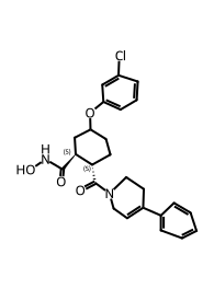 O=C(NO)[C@H]1CC(Oc2cccc(Cl)c2)CC[C@@H]1C(=O)N1CC=C(c2ccccc2)CC1